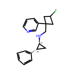 FC1CC(CN[C@H]2C[C@@H]2c2ccccc2)(c2cccnc2)C1